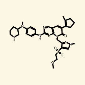 COCCS(=O)(=O)c1cn(C)nc1Cn1c(=O)c(C2=C(C)CCC2)cc2cnc(Nc3ccc(N(C)C4CCCNC4)cc3)nc21